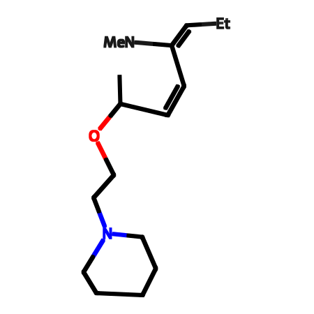 CC/C=C(\C=C/C(C)OCCN1CCCCC1)NC